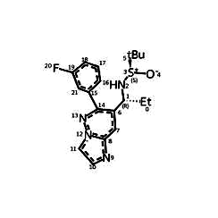 CC[C@@H](N[S@+]([O-])C(C)(C)C)c1cc2nccn2nc1-c1cccc(F)c1